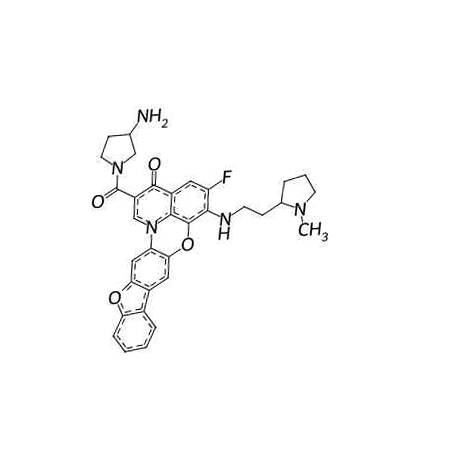 CN1CCCC1CCNc1c(F)cc2c(=O)c(C(=O)N3CCC(N)C3)cn3c2c1Oc1cc2c(cc1-3)oc1ccccc12